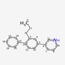 CCCc1cc(-c2cccnc2)ccc1-c1ccccc1